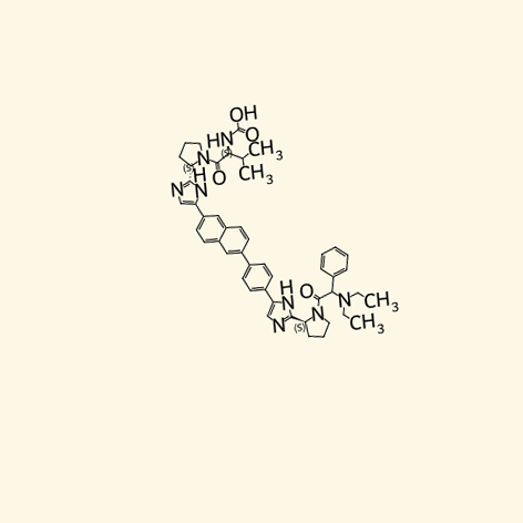 CCN(CC)C(C(=O)N1CCC[C@H]1c1ncc(-c2ccc(-c3ccc4cc(-c5cnc([C@@H]6CCCN6C(=O)[C@@H](NC(=O)O)C(C)C)[nH]5)ccc4c3)cc2)[nH]1)c1ccccc1